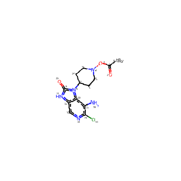 CC(C)(C)C(=O)ON1CCC(n2c(=O)[nH]c3cnc(Cl)c(N)c32)CC1